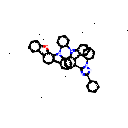 c1ccc(-c2nc(-c3cccc4c3c3ccccc3n4-c3ccccc3-n3c4ccccc4c4ccc5c6ccccc6oc5c43)n(-c3ccccc3)n2)cc1